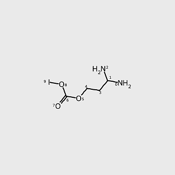 NC(N)CCOC(=O)OI